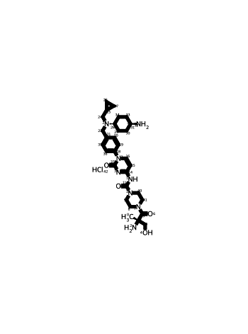 C[C@](N)(CO)C(=O)N1CCN(C(=O)Nc2ccn(-c3ccc(CN(CC4CC4)[C@H]4CC[C@H](N)CC4)cc3)c(=O)n2)CC1.Cl